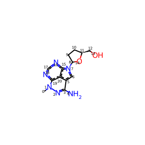 CN1N=C(N)c2cn(C3CC[C@@H](CO)O3)c3ncnc1c23